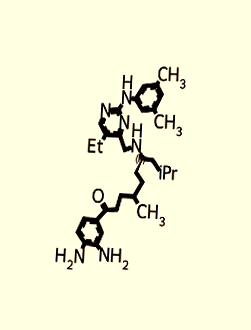 CCc1cnc(Nc2cc(C)cc(C)c2)nc1CN[C@H](CCC(C)CCC(=O)c1ccc(N)c(N)c1)CC(C)C